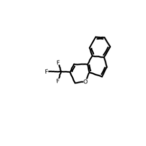 FC(F)(F)C1=Cc2c(ccc3ccccc23)OC1